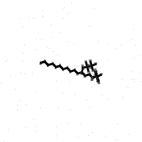 CCCCCCCCCCCC(CCOS(C)(=O)=O)O[Si](C)(C)C(C)(C)C